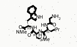 CNC(=O)[C@H](Cc1c[nH]c2ccccc12)NC(=O)[C@H](CSC)NC(=O)[C@H](CC(C)C)NC(=O)CN